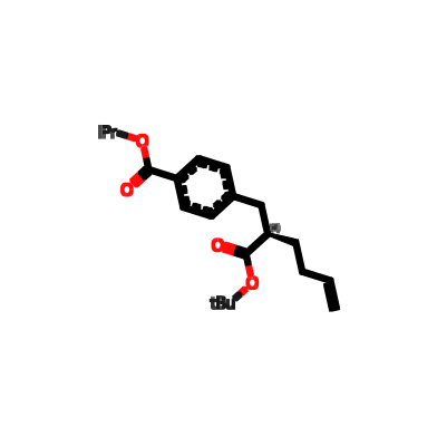 C=CCC[C@H](Cc1ccc(C(=O)OC(C)C)cc1)C(=O)OC(C)(C)C